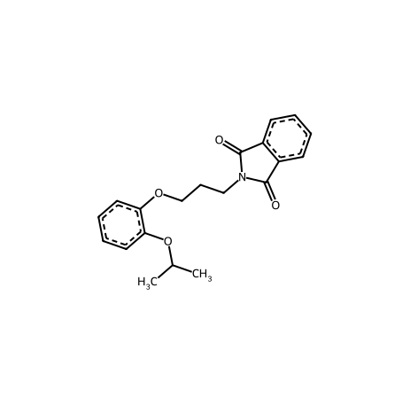 CC(C)Oc1ccccc1OCCCN1C(=O)c2ccccc2C1=O